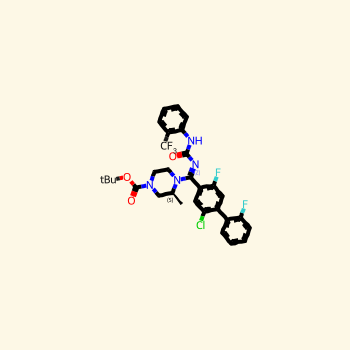 C[C@H]1CN(C(=O)OC(C)(C)C)CCN1/C(=N\C(=O)Nc1ccccc1C(F)(F)F)c1cc(Cl)c(-c2ccccc2F)cc1F